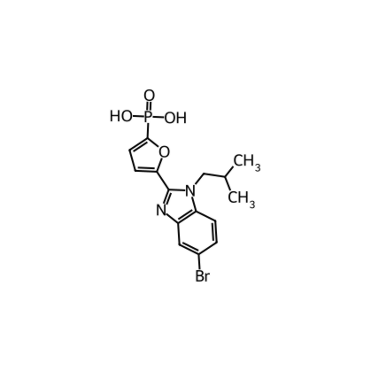 CC(C)Cn1c(-c2ccc(P(=O)(O)O)o2)nc2cc(Br)ccc21